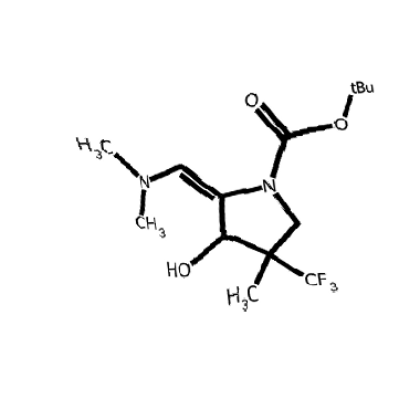 CN(C)/C=C1\C(O)C(C)(C(F)(F)F)CN1C(=O)OC(C)(C)C